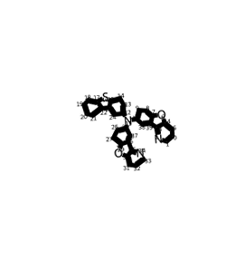 c1cnc2c(c1)oc1ccc(N(c3ccc4sc5ccccc5c4c3)c3ccc4oc5cccnc5c4c3)cc12